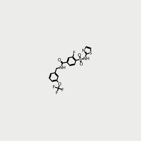 O=C(NCc1cccc(OC(F)(F)F)c1)c1ccc(S(=O)(=O)Nc2nccs2)c(F)c1